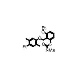 CCOc1cccc(SC(=O)NC)c1COc1cc(C)c(CC)cc1C